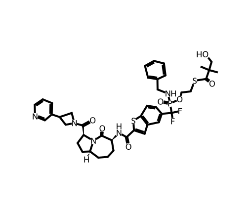 CC(C)(CO)C(=O)SCCOP(=O)(NCc1ccccc1)C(F)(F)c1ccc2sc(C(=O)N[C@H]3CCC[C@H]4CC[C@@H](C(=O)N5CC(c6cccnc6)C5)N4C3=O)cc2c1